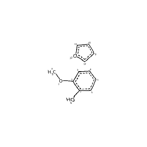 COc1ccccc1O.c1ccoc1